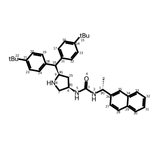 C[C@@H](NC(=O)N[C@H]1CN[C@@H](C(c2ccc(C(C)(C)C)cc2)c2ccc(C(C)(C)C)cc2)C1)c1ccc2ccccc2c1